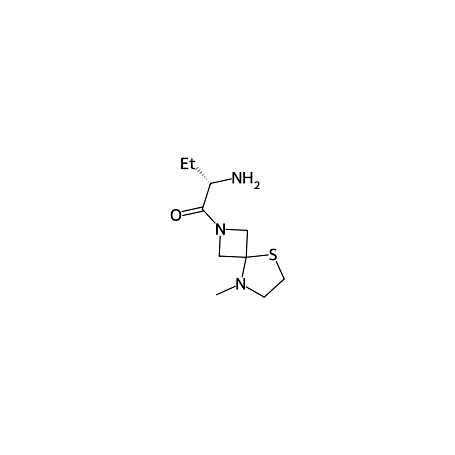 CC[C@H](N)C(=O)N1CC2(C1)SCCN2C